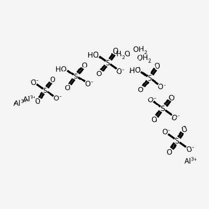 O.O.O.O=S(=O)([O-])O.O=S(=O)([O-])O.O=S(=O)([O-])O.O=S(=O)([O-])[O-].O=S(=O)([O-])[O-].O=S(=O)([O-])[O-].[Al+3].[Al+3].[Al+3]